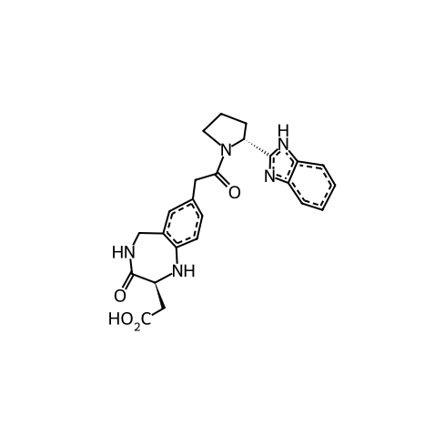 O=C(O)C[C@@H]1Nc2ccc(CC(=O)N3CCC[C@@H]3c3nc4ccccc4[nH]3)cc2CNC1=O